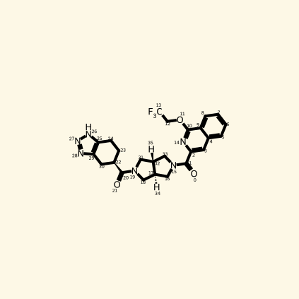 O=C(c1cc2ccccc2c(OCC(F)(F)F)n1)N1C[C@H]2CN(C(=O)[C@@H]3CCc4[nH]nnc4C3)C[C@@H]2C1